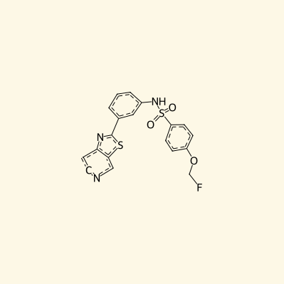 O=S(=O)(Nc1cccc(-c2nc3ccncc3s2)c1)c1ccc(OCF)cc1